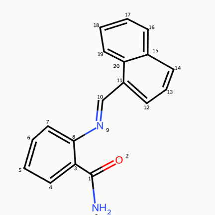 NC(=O)c1ccccc1/N=C/c1cccc2ccccc12